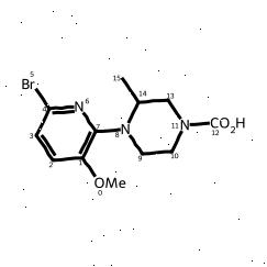 COc1ccc(Br)nc1N1CCN(C(=O)O)CC1C